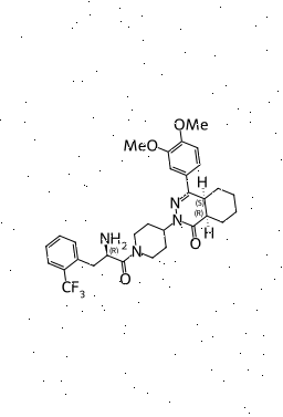 COc1ccc(C2=NN(C3CCN(C(=O)[C@H](N)Cc4ccccc4C(F)(F)F)CC3)C(=O)[C@@H]3CCCC[C@H]23)cc1OC